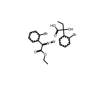 CCC(O)(C(=O)O)c1ccccc1Br.CCOC(=O)C(=[N+]=[N-])c1ccccc1Br